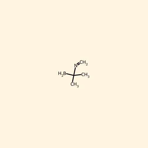 BC(C)(C)N=C